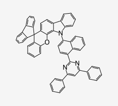 c1ccc(-c2cc(-c3ccccc3)nc(-c3ccc(-n4c5ccccc5c5ccc6c(c54)Oc4ccccc4C64c5ccccc5-c5ccccc54)c4ccccc34)n2)cc1